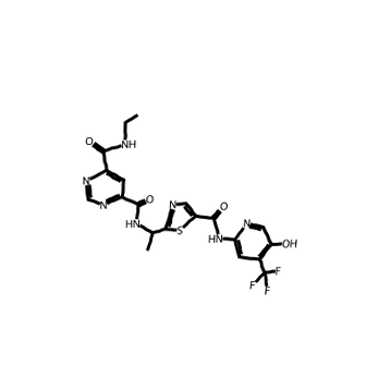 CCNC(=O)c1cc(C(=O)NC(C)c2ncc(C(=O)Nc3cc(C(F)(F)F)c(O)cn3)s2)ncn1